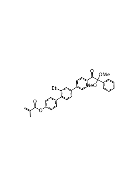 C=C(C)C(=O)Oc1ccc(-c2ccc(-c3ccc(C(=O)C(OC)(OC)c4ccccc4)cc3)cc2CC)cc1